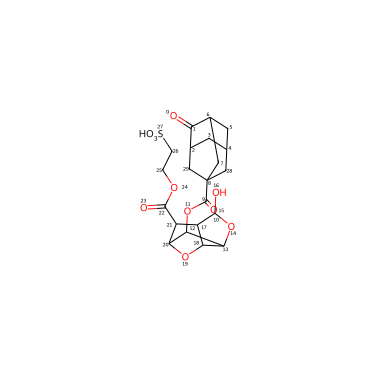 O=C1C2CC3CC1CC(C(=O)OC1C4OC(O)C5C4OC1C5C(=O)OCCS(=O)(=O)O)(C3)C2